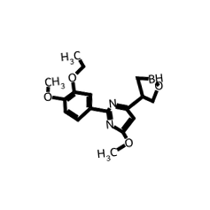 CCOc1cc(-c2nc(OC)cc(C3CBOC3)n2)ccc1OC